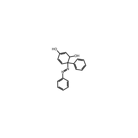 OC1=CC(O)C(N=Nc2ccccc2)(c2ccccc2)C=C1